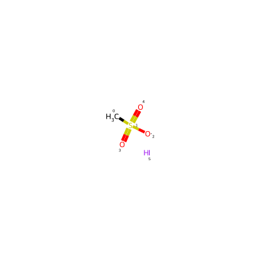 CS([O])(=O)=O.I